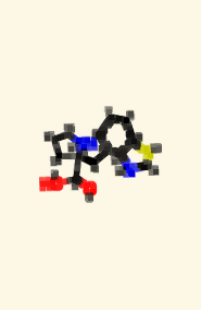 O=C(O)[C@]1(Cc2cccc3scnc23)CCCN1